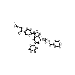 O=C(NC1CC1)c1ccc(-c2cnc3c(NCCCN4CCOCC4)nc(-c4ccccc4)cn23)cc1